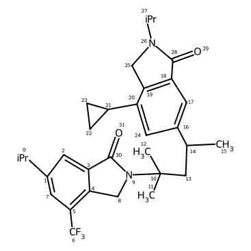 CC(C)c1cc2c(c(C(F)(F)F)c1)CN(C(C)(C)CC(C)c1cc3c(c(C4CC4)c1)CN(C(C)C)C3=O)C2=O